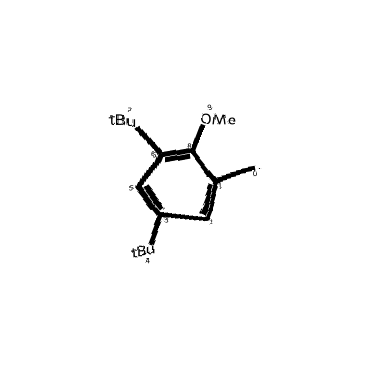 [CH2]c1cc(C(C)(C)C)cc(C(C)(C)C)c1OC